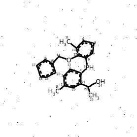 Cc1ccc(Pc2cccc(C)c2OCc2ccccc2)c(C(C)O)c1